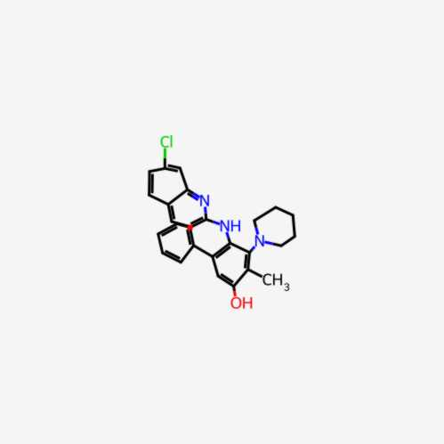 Cc1c(O)cc(-c2ccccc2)c(Nc2ccc3ccc(Cl)cc3n2)c1N1CCCCC1